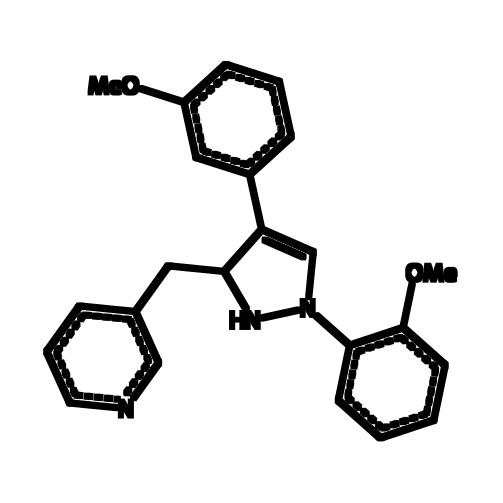 COc1cccc(C2=CN(c3ccccc3OC)NC2Cc2cccnc2)c1